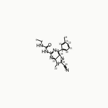 CCNC(=O)Nc1nc(-c2cccc(C)c2)c2nc(C#N)n(C)c2n1